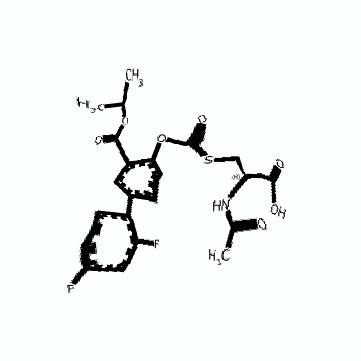 CC(=O)N[C@@H](CSC(=O)Oc1ccc(-c2ccc(F)cc2F)cc1C(=O)OC(C)C)C(=O)O